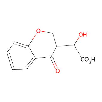 O=C(O)C(O)C1COc2ccccc2C1=O